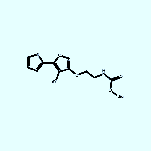 CC(C)c1c(OCCNC(=O)OC(C)(C)C)noc1-c1cccs1